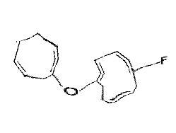 Fc1ccc(OC2=CC[CH]C=C2)cc1